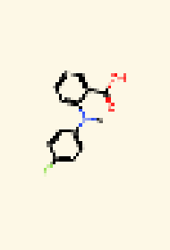 CN(c1ccc(F)cc1)c1ccccc1C(=O)O